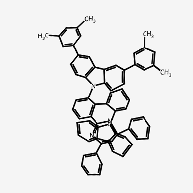 Cc1cc(C)cc(-c2ccc3c(c2)c2cc(-c4cc(C)cc(C)c4)ccc2n3-c2cccc(-c3nc(-c4ccccc4)cc(-c4ccccc4)n3)c2-c2ccccc2-n2c3ccccc3c3ccccc32)c1